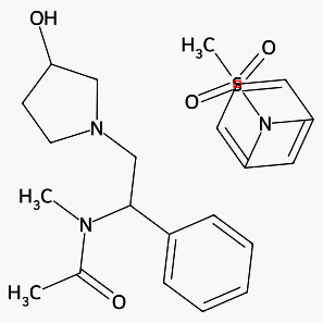 CC(=O)N(C)C(CN1CCC(O)C1)c1ccccc1.CS(=O)(=O)N1c2cccc1c2